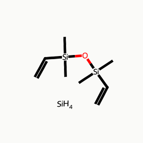 C=C[Si](C)(C)O[Si](C)(C)C=C.[SiH4]